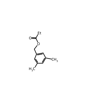 CCC(=O)OCc1cc(C)cc(C)c1